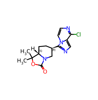 CC1(C)OC(=O)N2C[C@H](c3ncc4c(Cl)nccn34)CC[C@H]21